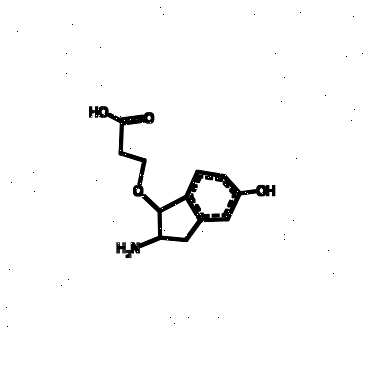 NC1Cc2cc(O)ccc2C1OCCC(=O)O